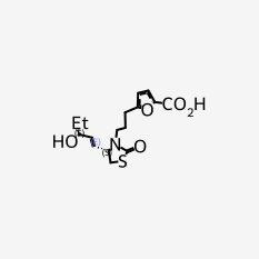 CC[C@H](O)/C=C/[C@H]1CSC(=O)N1CCCc1ccc(C(=O)O)o1